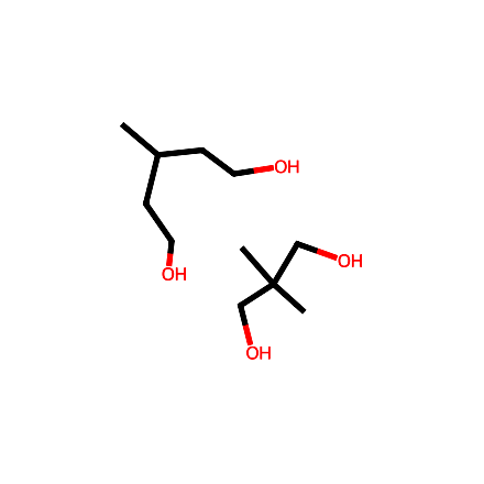 CC(C)(CO)CO.CC(CCO)CCO